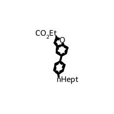 CCCCCCCc1ccc(-c2ccc3oc(C(=O)OCC)cc3c2)cc1